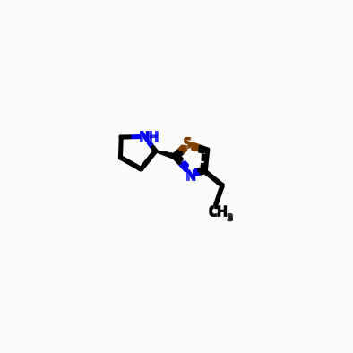 CCc1csc([C@H]2CCCN2)n1